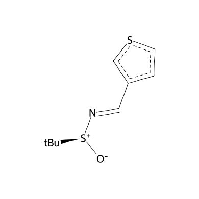 CC(C)(C)[S@+]([O-])N=Cc1ccsc1